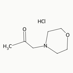 CC(=O)CN1CCOCC1.Cl